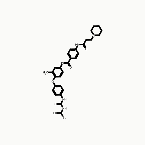 CCC(CC)NC(=O)Nc1ccc(Oc2ccc(NC(=O)c3ccc(NC(=O)CCN4CCCCC4)cc3)cc2C)cc1